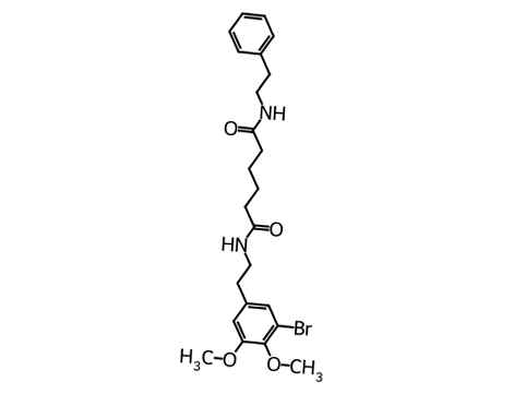 COc1cc(CCNC(=O)CCCCC(=O)NCCc2ccccc2)cc(Br)c1OC